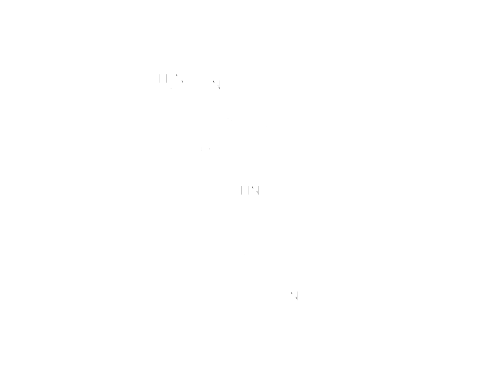 NNC(=O)c1ccccc1Nc1ccncc1